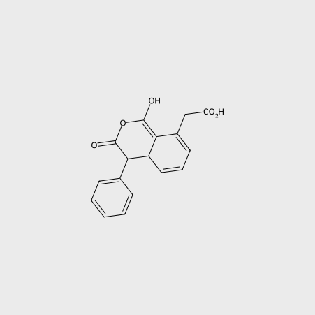 O=C(O)CC1=CC=CC2C1=C(O)OC(=O)C2c1ccccc1